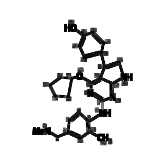 CNCc1ccc(Nc2nc(OC3CCCC3)c3c(-c4ccc(O)cc4)c[nH]c3n2)c(C)c1